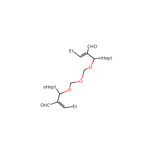 CCC=C(C=O)C(CCCCCCC)OCOCOC(CCCCCCC)C(C=O)=CCC